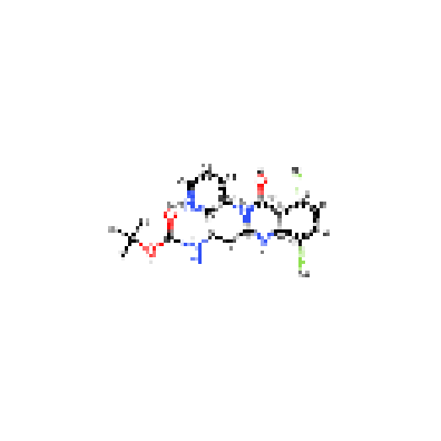 CC(C)(C)OC(=O)NCCc1nc2c(F)ccc(F)c2c(=O)n1-c1cccnc1